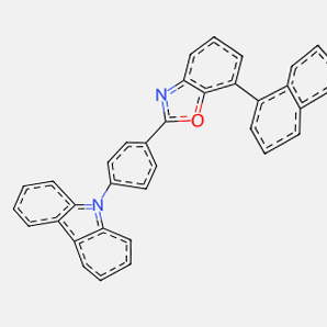 c1ccc2c(-c3cccc4nc(-c5ccc(-n6c7ccccc7c7ccccc76)cc5)oc34)cccc2c1